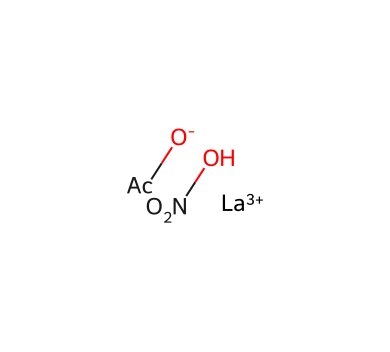 CC(=O)[O-].O=[N+]([O-])O.[La+3]